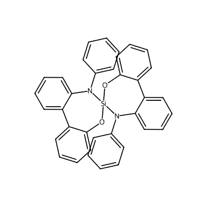 c1ccc(N2c3ccccc3-c3ccccc3O[Si]23Oc2ccccc2-c2ccccc2N3c2ccccc2)cc1